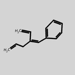 C=CCC(C=C)=Cc1ccccc1